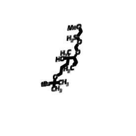 C=C[C@H](OCO[SiH2]COC)[C@](C)(O)CCCOC(C)(C)C(C)(C)C